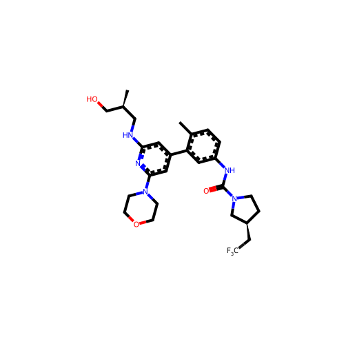 Cc1ccc(NC(=O)N2CC[C@@H](CC(F)(F)F)C2)cc1-c1cc(NC[C@H](C)CO)nc(N2CCOCC2)c1